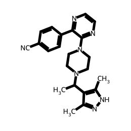 Cc1n[nH]c(C)c1C(C)N1CCN(c2nccnc2-c2ccc(C#N)cc2)CC1